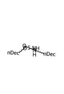 CCCCCCCCCCCCCCCCCCNC(=N)CCCSCCC(=O)OCCCCCCCCCCCCCCCC